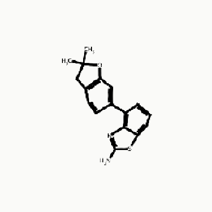 CC1(C)Cc2ccc(-c3cccc4sc(N)nc34)cc2O1